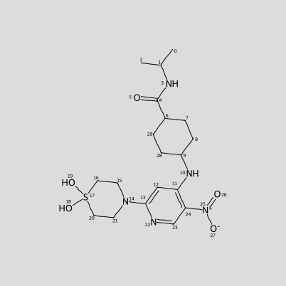 CC(C)NC(=O)C1CCC(Nc2cc(N3CCS(O)(O)CC3)ncc2[N+](=O)[O-])CC1